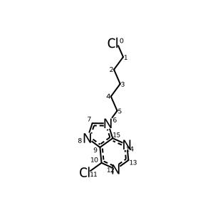 ClCCCCCn1cnc2c(Cl)ncnc21